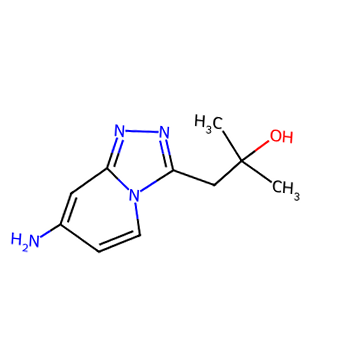 CC(C)(O)Cc1nnc2cc(N)ccn12